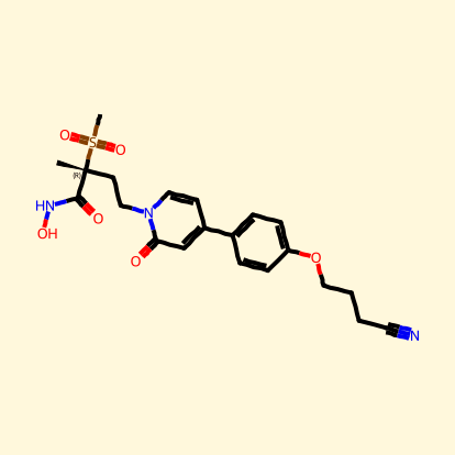 C[C@@](CCn1ccc(-c2ccc(OCCCC#N)cc2)cc1=O)(C(=O)NO)S(C)(=O)=O